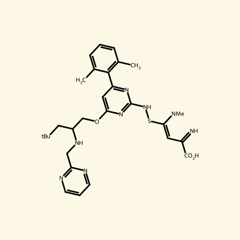 CN/C(=C\C(=N)C(=O)O)SNc1nc(OCC(CC(C)(C)C)NCc2ncccn2)cc(-c2c(C)cccc2C)n1